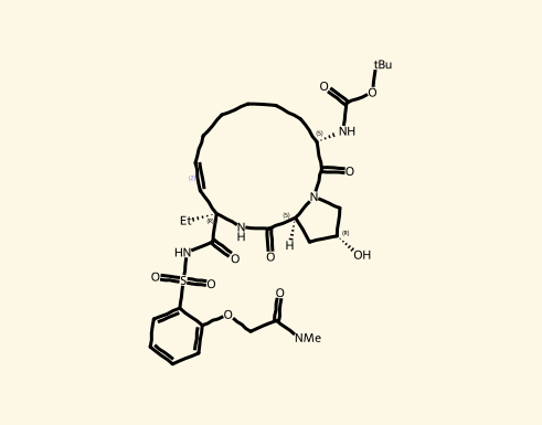 CC[C@]1(C(=O)NS(=O)(=O)c2ccccc2OCC(=O)NC)/C=C\CCCCC[C@H](NC(=O)OC(C)(C)C)C(=O)N2C[C@H](O)C[C@H]2C(=O)N1